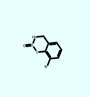 O=S1NCc2cccc(Br)c2O1